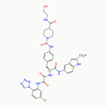 O=C(Nc1cc(Cl)ccc1-n1cnnn1)C(=O)N[C@@H](Cc1ccc(NC(=O)N2CCC(C(=O)NCCO)CC2)cc1)C(=O)Nc1ccc2[nH]c(C(=O)O)cc2c1